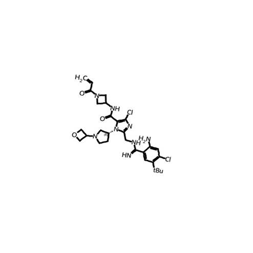 C=CC(=O)N1CC(NC(=O)c2c(Cl)nc(CNC(=N)c3cc(C(C)(C)C)c(Cl)cc3N)n2[C@@H]2CCN(C3COC3)C2)C1